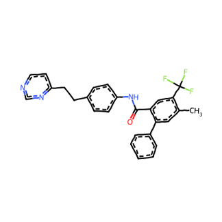 Cc1cc(-c2ccccc2)c(C(=O)Nc2ccc(CCc3ccncn3)cc2)cc1C(F)(F)F